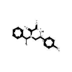 C[C@@H](c1ccccc1)N(C[C@H](O)c1ccc(Br)cc1)C(=O)CCl